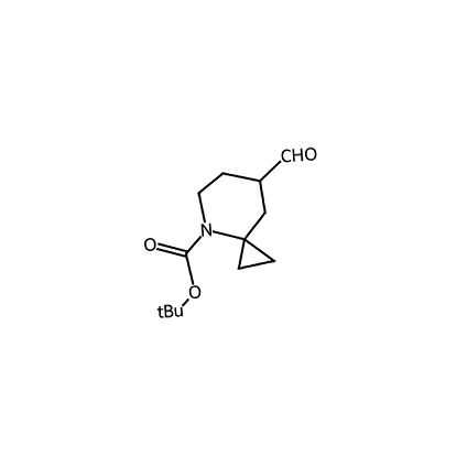 CC(C)(C)OC(=O)N1CCC(C=O)CC12CC2